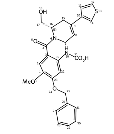 COc1cc(C(=O)N2CC=C(c3ccsc3)C[C@H]2CO)c(NC(=O)O)cc1OCc1ccccc1